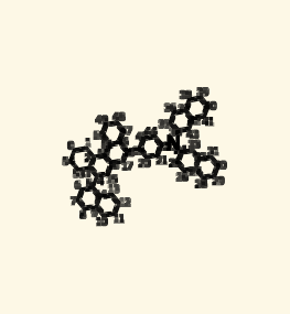 C1=Cc2c(c(-c3cccc4ccccc34)cc3cc(-c4ccc(N(c5ccc6ccccc6c5)c5ccc6ccccc6c5)cc4)c4ccccc4c23)CC1